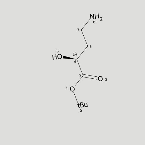 CC(C)(C)OC(=O)[C@@H](O)CCN